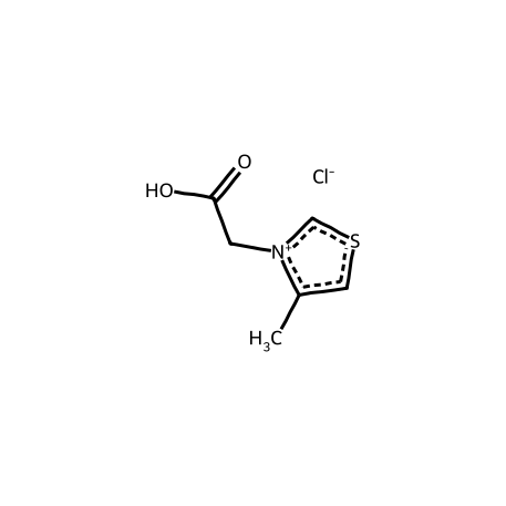 Cc1csc[n+]1CC(=O)O.[Cl-]